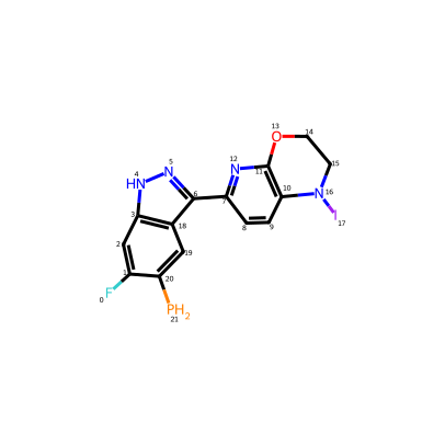 Fc1cc2[nH]nc(-c3ccc4c(n3)OCCN4I)c2cc1P